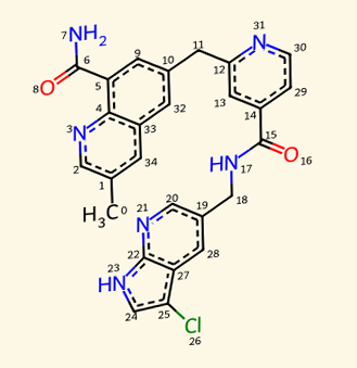 Cc1cnc2c(C(N)=O)cc(Cc3cc(C(=O)NCc4cnc5[nH]cc(Cl)c5c4)ccn3)cc2c1